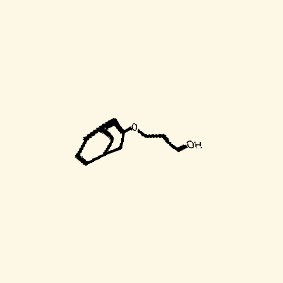 OCCCOC1=C=C2CCCC(C2)C1